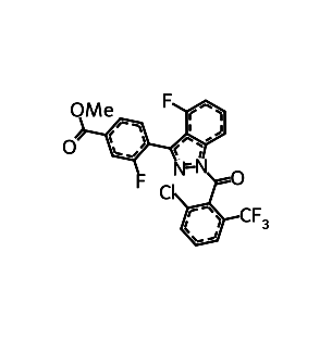 COC(=O)c1ccc(-c2nn(C(=O)c3c(Cl)cccc3C(F)(F)F)c3cccc(F)c23)c(F)c1